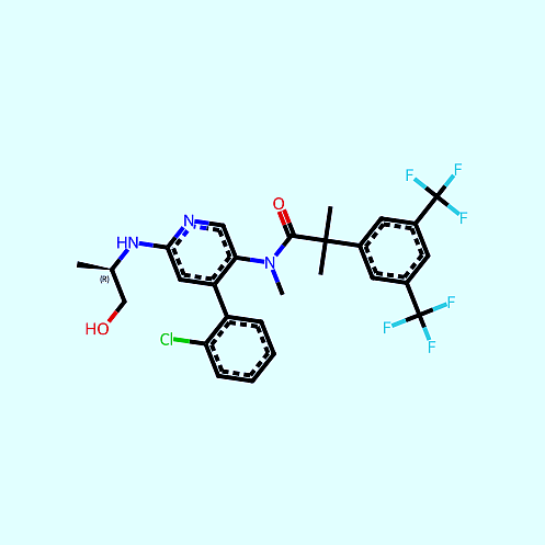 C[C@H](CO)Nc1cc(-c2ccccc2Cl)c(N(C)C(=O)C(C)(C)c2cc(C(F)(F)F)cc(C(F)(F)F)c2)cn1